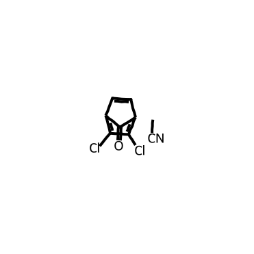 CC#N.O=C1C2=C(Cl)C(Cl)=C1C=C2